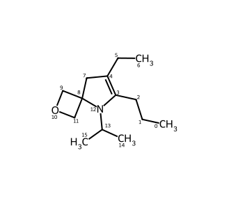 CCCC1=C(CC)CC2(COC2)N1C(C)C